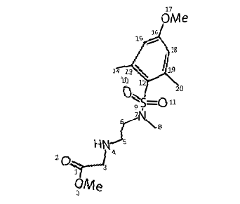 COC(=O)CNCCN(C)S(=O)(=O)c1c(C)cc(OC)cc1C